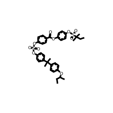 CCC(C)Oc1ccc(C(C)(C)c2ccc(OS(=O)(=O)Oc3ccc(C(=O)Oc4ccc(OS(=O)(=O)C(C)(C)CC)cc4)cc3)cc2)cc1